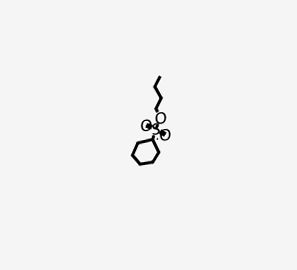 CCCCOS(=O)(=O)[C]1CCCCC1